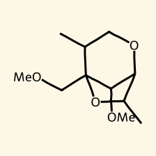 COCC12OC(C)C(OCC1C)C2OC